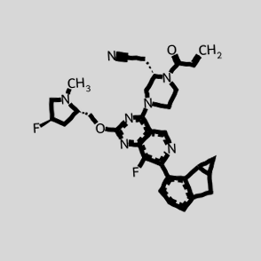 C=CC(=O)N1CCN(c2nc(OC[C@@H]3C[C@@H](F)CN3C)nc3c(F)c(-c4cccc5c4C4CC4C5)ncc23)C[C@@H]1CC#N